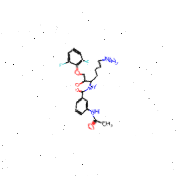 CC(=O)Nc1cccc(C(=O)NC(CCCCN)C(=O)COc2c(F)c#ccc2F)c1